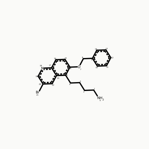 NCCCCc1c(OCc2ccccc2)ccc2ncc(Br)cc12